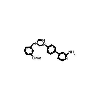 COc1cccc(CN2C=NN(c3ccc(-c4ccnc(N)c4)cc3)C2)c1